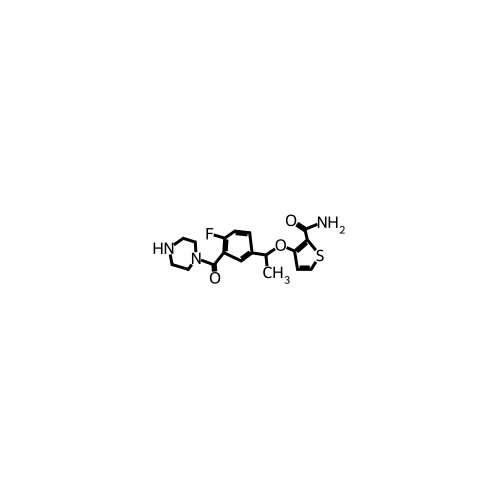 CC(Oc1ccsc1C(N)=O)c1ccc(F)c(C(=O)N2CCNCC2)c1